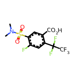 CN(C)S(=O)(=O)c1cc(C(=O)O)c(C(F)(F)C(F)(F)F)cc1F